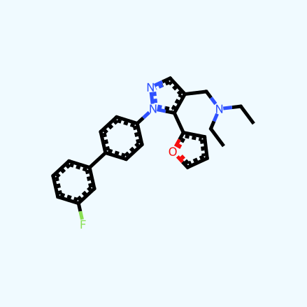 CCN(CC)Cc1cnn(-c2ccc(-c3cccc(F)c3)cc2)c1-c1ccco1